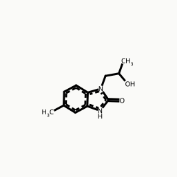 Cc1ccc2c(c1)[nH]c(=O)n2CC(C)O